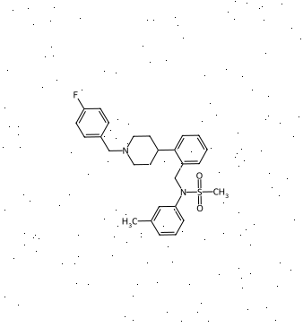 Cc1cccc(N(Cc2ccccc2C2CCN(Cc3ccc(F)cc3)CC2)S(C)(=O)=O)c1